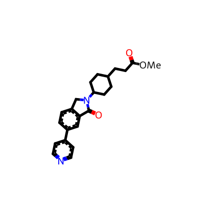 COC(=O)CCC1CCC(N2Cc3ccc(-c4ccncc4)cc3C2=O)CC1